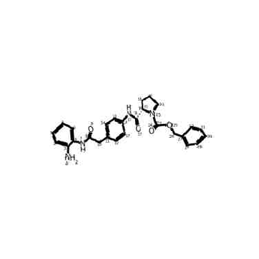 Nc1ccccc1NC(=O)Cc1ccc(NC(=O)[C@@H]2CCCN2C(=O)OCc2ccccc2)cc1